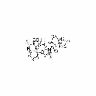 Cc1nc2cccc(OC[C@H](C)NC(=O)c3cccc4c3OCCO4)c2c(N)c1C(=O)O